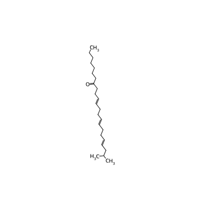 CCCCCCCC(=O)CC/C=C/CC/C=C/CC/C=C/CC(C)C